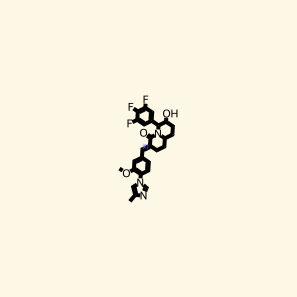 COc1cc(/C=C2\CCC3CCC(O)C(c4cc(F)c(F)c(F)c4)N3C2=O)ccc1-n1cnc(C)c1